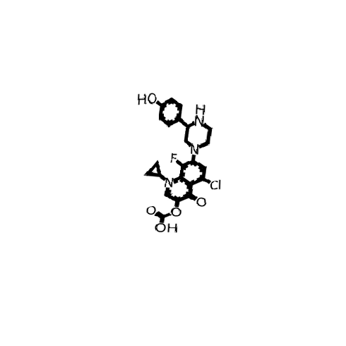 O=C(O)Oc1cn(C2CC2)c2c(F)c(N3CCNC(c4ccc(O)cc4)C3)cc(Cl)c2c1=O